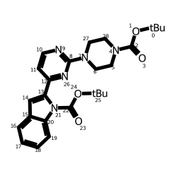 CC(C)(C)OC(=O)N1CCN(c2nccc(-c3cc4ccccc4n3C(=O)OC(C)(C)C)n2)CC1